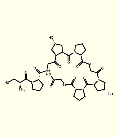 N[C@@H](CS)C(=O)N1CCC[C@H]1C(=O)NCC(=O)N1C[C@H](O)C[C@H]1C(=O)N1CCC[C@H]1C(=O)NCC(=O)N1C[C@H](O)C[C@H]1C(=O)N1CCC[C@H]1C(=O)NCC(=O)O